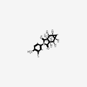 Cc1ccc(N2C(=O)[C@@H]3[C@@H]4CC[C@@H]([C@@H]5C[C@@H]54)[C@@H]3C2=O)cc1F